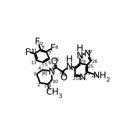 C[C@H]1CC[C@H](c2cc(F)c(F)c(F)c2)N(C(=O)C(=O)Nc2cnc(N)c3cn[nH]c23)C1